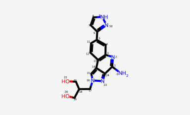 Nc1nc2cc(-c3cc[nH]n3)ccc2c2cn(CC(CO)CO)nc12